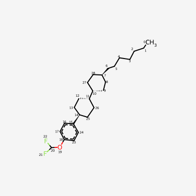 CCCCCCC[C@H]1CC[C@H]([C@H]2CC[C@H](c3ccc(OC(F)F)cc3)CC2)CC1